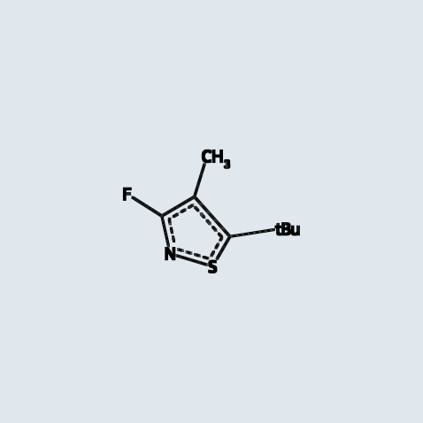 Cc1c(F)nsc1C(C)(C)C